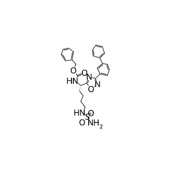 NS(=O)(=O)NCCCC[C@H](NC(=O)OCc1ccccc1)c1nc(-c2cccc(-c3ccccc3)c2)no1